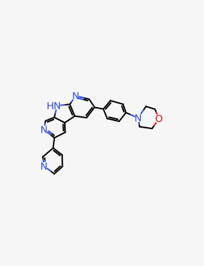 c1cncc(-c2cc3c(cn2)[nH]c2ncc(-c4ccc(N5CCOCC5)cc4)cc23)c1